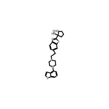 O=CNC1(c2nc3ccc(CCN4CCN(c5cccc6sccc56)CC4)cc3s2)CCCC1